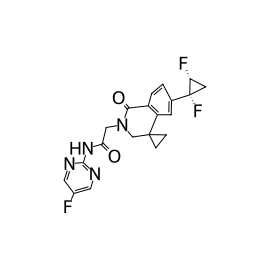 O=C(CN1CC2(CC2)c2cc([C@]3(F)C[C@H]3F)ccc2C1=O)Nc1ncc(F)cn1